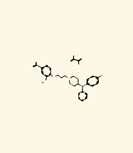 COc1cc(C(C)=O)ccc1OCCCN1CCC(C(c2ccccc2)c2ccc(F)cc2)CC1.O=C(O)C(=O)O